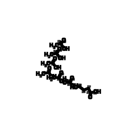 CC(=O)O.CC(=O)O.CC(=O)O.CC(=O)O.CC(=O)O.CC(=O)O.O=C(O)CCCO